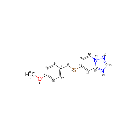 COc1ccc(CSc2ccn3ncnc3c2)cc1